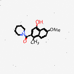 COc1ccc2c(C)c(C(=O)N3CCCCC3)cc(O)c2c1